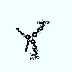 CCCCCCOc1ccc(N(c2ccc(-c3cc4sc(/C=C(\C#N)C(=O)O)cc4s3)cc2)c2ccc(-c3cc4sc(/C=C(\C#N)C(=O)O)cc4s3)cc2)c(OCCCCCC)c1